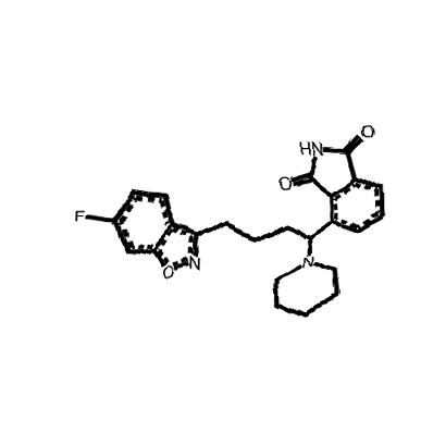 O=C1NC(=O)c2c1cccc2C(CCCc1noc2cc(F)ccc12)N1CCCCC1